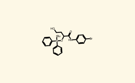 CC(C)(C)[Si](OC(CCO)C(=O)Nc1ccc(Br)cc1)(c1ccccc1)c1ccccc1